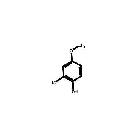 CCc1cc(OC(F)(F)F)ccc1O